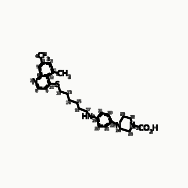 Cc1cc(C(F)(F)F)cc2nccc(SCCCCCCNc3ccc(N4CCN(C(=O)O)CC4)cc3)c12